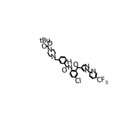 CC(C)(C)OC(=O)N1CCN(Cc2cccc(C(=O)Nc3ccc(Cl)cc3C(=O)c3cnn(-c4ccc(C(F)(F)F)cn4)c3)c2)CC1